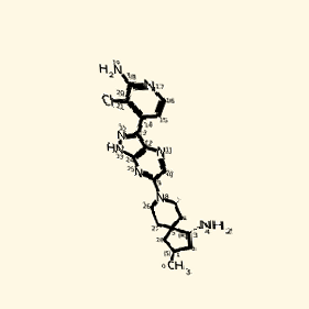 C[C@@H]1C[C@@H](N)C2(CCN(c3cnc4c(-c5ccnc(N)c5Cl)n[nH]c4n3)CC2)C1